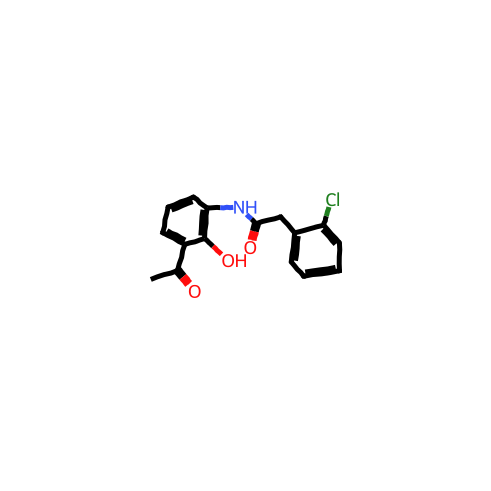 CC(=O)c1cccc(NC(=O)Cc2ccccc2Cl)c1O